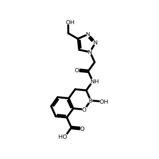 O=C(Cn1cc(CO)nn1)NC1Cc2cccc(C(=O)O)c2OB1O